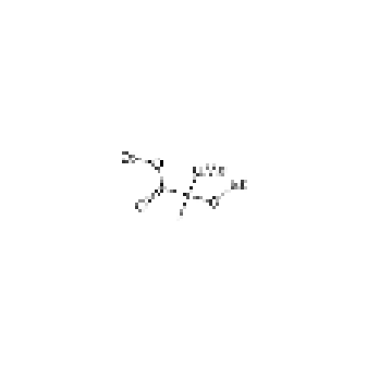 CCOC(=O)C(C)(OC)OCC